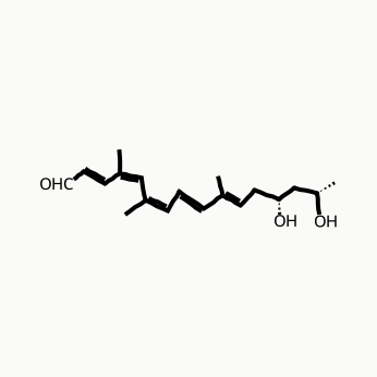 CC(=C/C=C/C(C)=C/C[C@@H](O)C[C@H](C)O)C=C(C)/C=C/C=O